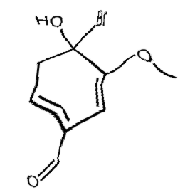 COC1=CC(C=O)=CCC1(O)Br